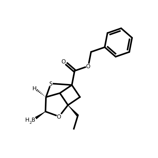 B[C@@H]1O[C@@]2(CC)CC3(C(=O)OCc4ccccc4)S[C@H]1C32